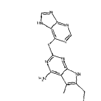 CCc1[nH]c2nc(Sc3ncnc4nc[nH]c34)nc(N)c2c1C